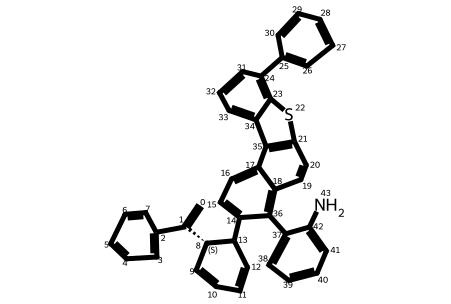 C=C(c1ccccc1)[C@H]1C=CC=CC1c1ccc2c(ccc3sc4c(-c5ccccc5)cccc4c32)c1-c1ccccc1N